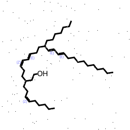 CCCCC/C=C\CCC(CCO)CC/C=C\C=C\CCC(/C=C/C=C/CCCCCCCCCC)CCCCCCC